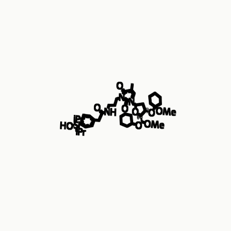 COC(OC1CCCCC1)[C@@H]1OC(n2cc(C)c(=O)n(CCCNC(=O)Cc3ccc([Si](O)(C(C)C)C(C)C)cc3)c2=O)C[C@@H]1OC1(OC)CCCCC1